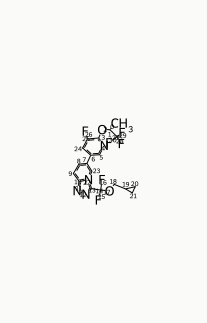 C[C@@H](Oc1ncc(-c2ccc3nnc(C(F)(F)OCC4CC4)n3c2)cc1F)C(F)(F)F